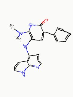 CN(C)c1[nH]c(=O)c(-c2ccccc2)cc1Nc1ccnc2[nH]ccc12